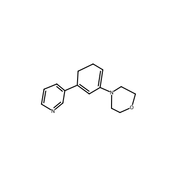 C1=C(c2cccnc2)CCC=C1N1CCOCC1